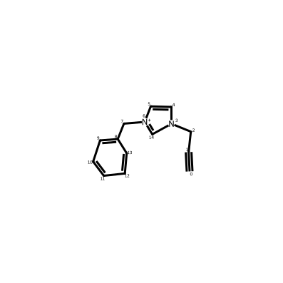 C#CCn1cc[n+](Cc2ccccc2)c1